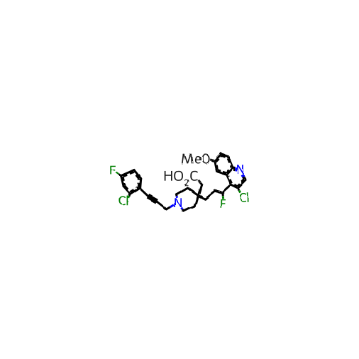 COc1ccc2ncc(Cl)c(C(F)CCC3(CC(=O)O)CCN(CC#Cc4ccc(F)cc4Cl)CC3)c2c1